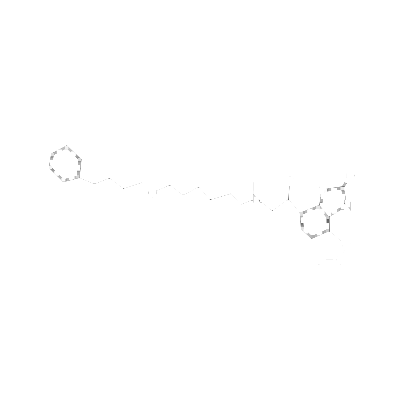 O=COc1ccc(C(O)CNCCCCCCOCCCCc2ccccc2)c2sc(=O)[nH]c12